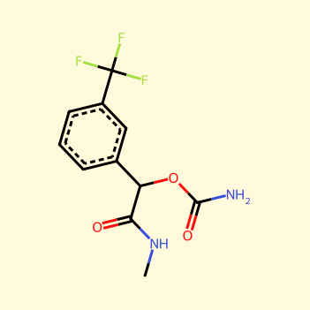 CNC(=O)C(OC(N)=O)c1cccc(C(F)(F)F)c1